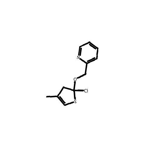 CC1=CSC(Cl)(OCc2ccccn2)C1